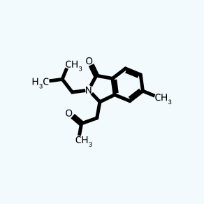 CC(=O)CC1c2cc(C)ccc2C(=O)N1CC(C)C